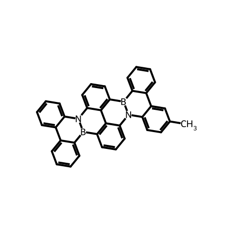 Cc1ccc2c(c1)-c1ccccc1B1c3cccc4c3-c3c(cccc3N12)B1c2ccccc2-c2ccccc2N14